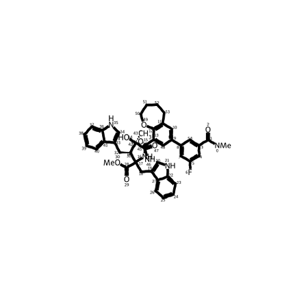 CNC(=O)c1cc(F)cc(-c2cc3c(c(C(=O)NC(Cc4c[nH]c5ccccc45)(C(=O)OC)[C@@H](Cc4c[nH]c5ccccc45)[C@@](C)(O)C(N)=O)c2)OCCCC3)c1